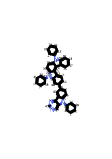 c1ccc(-n2c3ccc(-c4ccc5c6c7c8ccccc8n(-c8ccccc8)c7ccc6n(-c6ccccc6)c5c4)cc3c3ncncc32)cc1